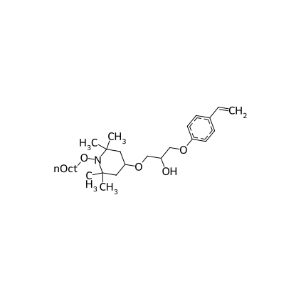 C=Cc1ccc(OCC(O)COC2CC(C)(C)N(OCCCCCCCC)C(C)(C)C2)cc1